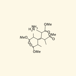 COC(=O)C(C)C(=C(C(C)C(=O)OC)C(C)C(=O)OC)C(C)C(=O)OC.N.N